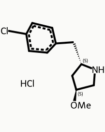 CO[C@@H]1CN[C@@H](Cc2ccc(Cl)cc2)C1.Cl